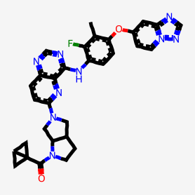 Cc1c(Oc2ccn3ncnc3c2)ccc(Nc2ncnc3ccc(N4CC5CCN(C(=O)C67CC6C7)C5C4)nc23)c1F